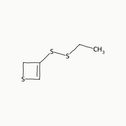 CCSSC1=CSC1